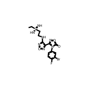 CCS(=N)(=N)CCNc1nonc1-c1noc(=O)n1-c1ccc(F)c(Br)c1